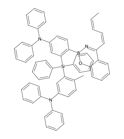 C/C=C\C=C/C1=NB(c2ccc(N(c3ccccc3)c3ccccc3)cc2[Si](c2ccccc2)(c2ccccc2)c2cc(N(c3ccccc3)c3ccccc3)ccc2C)Oc2ccccc21